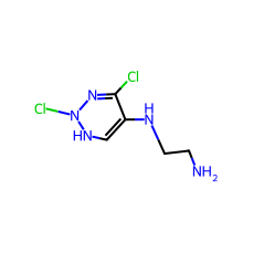 NCCNC1=CNN(Cl)N=C1Cl